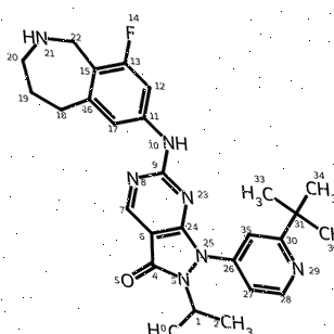 CC(C)n1c(=O)c2cnc(Nc3cc(F)c4c(c3)CCCNC4)nc2n1-c1ccnc(C(C)(C)C)c1